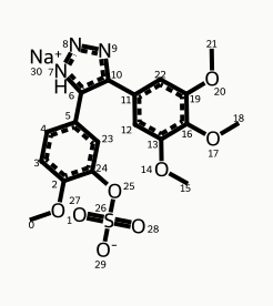 COc1ccc(-c2[nH]nnc2-c2cc(OC)c(OC)c(OC)c2)cc1OS(=O)(=O)[O-].[Na+]